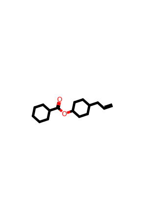 C=CCC1CCC(OC(=O)C2CCCCC2)CC1